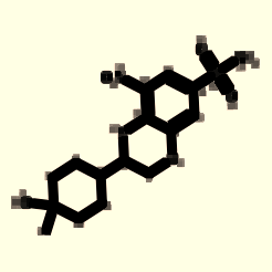 CC1(O)CCC(C2COc3cc(S(N)(=O)=O)cc([N+](=O)[O-])c3S2)CC1